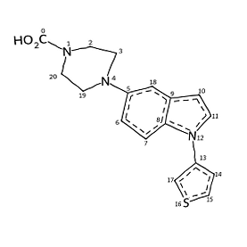 O=C(O)N1CCN(c2ccc3c(ccn3-c3ccsc3)c2)CC1